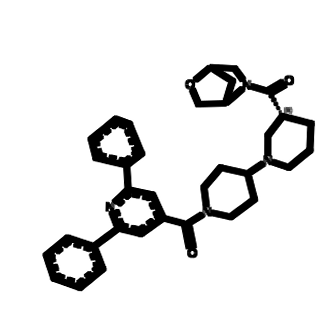 O=C(c1cc(-c2ccccc2)nc(-c2ccccc2)c1)N1CCC(N2CCC[C@@H](C(=O)N3CC4CC3CO4)C2)CC1